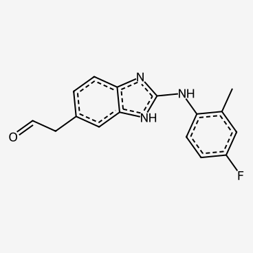 Cc1cc(F)ccc1Nc1nc2ccc(CC=O)cc2[nH]1